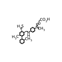 Cc1ccccc1-c1cc(CNc2ccc(N(C)SOCC(=O)O)cc2)c(F)cc1C.S